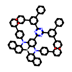 c1ccc(-c2ccc(N3c4cc(-c5nc(-c6cc(-c7ccccc7)cc(-c7ccccc7)c6)nc(-c6cc(-c7ccccc7)cc(-c7ccccc7)c6)n5)cc5c4B(c4ccc6ccccc6c43)c3ccc4ccccc4c3N5c3ccc(-c4ccccc4)cc3)cc2)cc1